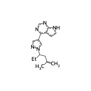 C=C(C)CC(CC)n1cc(-c2ncnc3[nH]ccc23)cn1